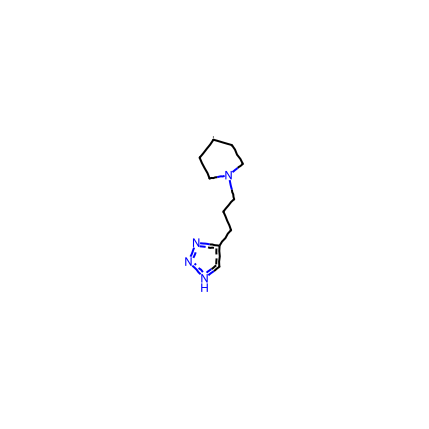 [CH]1CCN(CCCc2c[nH]nn2)CC1